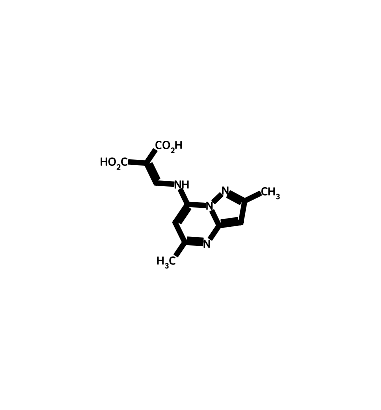 Cc1cc(NC=C(C(=O)O)C(=O)O)n2nc(C)cc2n1